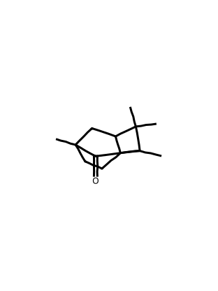 CC12CCC3C(C1)C(C)(C)C3(C)C2=O